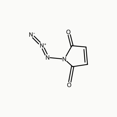 [N-]=[N+]=NN1C(=O)C=CC1=O